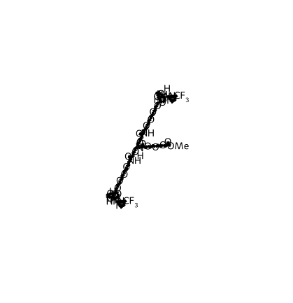 COC(=O)COCCOCCOCC(=O)NC(COCCC(=O)NCCOCCOCCOCCOC[C@H]1OC[C@H](Nc2nccc(C(F)(F)F)n2)[C@H]2OC(C)(C)O[C@H]21)COCCC(=O)NCCOCCOCCOCCOC[C@H]1OC[C@H](Nc2nccc(C(F)(F)F)n2)[C@H]2OC(C)(C)O[C@H]21